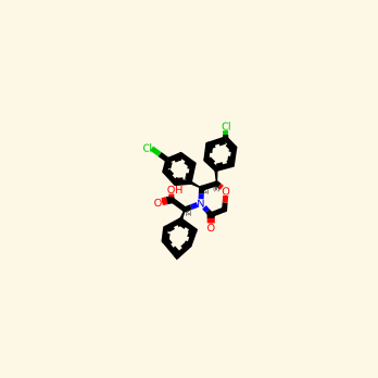 O=C(O)[C@H](c1ccccc1)N1C(=O)CO[C@H](c2ccc(Cl)cc2)[C@@H]1c1ccc(Cl)cc1